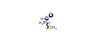 CSC(CC(=O)N(C)c1cn(-c2cccnc2)nc1Br)C(F)(F)F